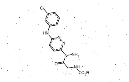 C[C@@H](NC(=O)O)C(=O)N(N)c1ccc(Nc2cccc(Cl)c2)nn1